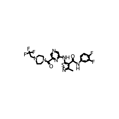 Cc1nsc(Nc2cncc(C(=O)N3CCN(CC(F)(F)F)CC3)n2)c1C(=O)Nc1ccc(F)c(F)c1